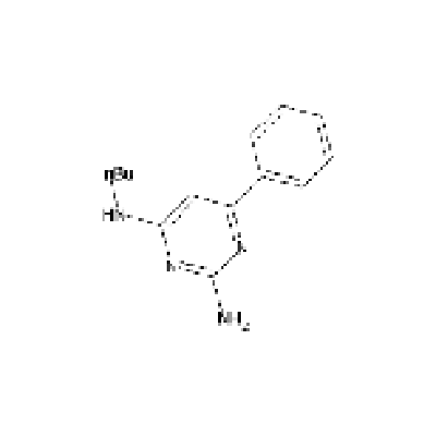 CCCCNc1cc(-c2ccccc2)nc(N)n1